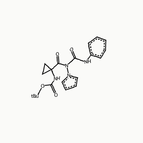 CC(C)(C)OC(=O)NC1(C(=O)N(C(=O)Nc2ccccc2)n2cccc2)CC1